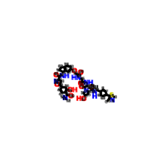 Cc1ncsc1-c1ccc(CNC(=O)[C@@H]2C[C@@H](O)CN2C(=O)[C@@H](NC(=O)CNC(=O)COc2ccc3c(c2)[C@H](NC(=O)c2cc(-c4ccc(C(=O)N(C)C)c(O)c4)on2)CC3)C(C)(C)C)cc1